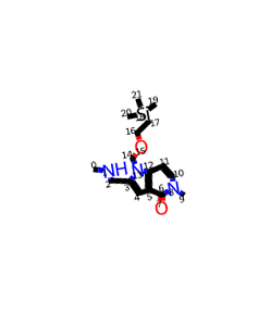 CNCc1cc2c(=O)n(C)ccc2n1COCC[Si](C)(C)C